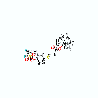 CC(C)(OC(=O)CCSc1ccc(OS(=O)(=O)C(C)(F)F)cc1)C12CC3CC(CC(C3)C1)C2